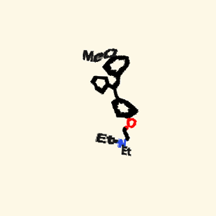 CCN(CC)CCOc1ccc(C(=Cc2ccc(OC)cc2)C2CCCCC2)cc1